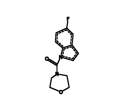 O=C(N1CCOCC1)n1ccc2cc(F)ccc21